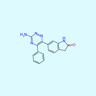 Nc1nnc(-c2ccc3c(c2)NC(=O)C3)c(-c2ccccc2)n1